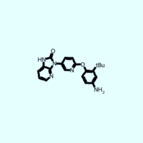 CC(C)(C)c1cc(N)ccc1Oc1ccc(-n2c(=O)[nH]c3cccnc32)cn1